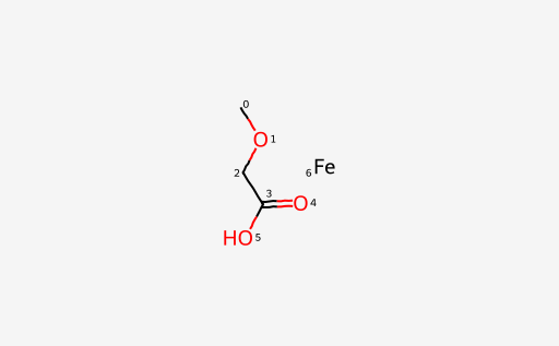 COCC(=O)O.[Fe]